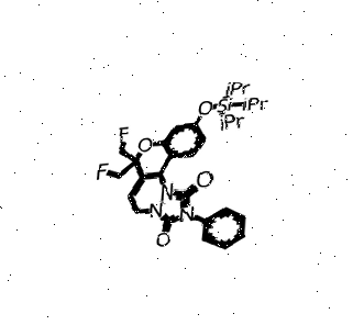 CC(C)[Si](Oc1ccc2c(c1)OC(CF)(CF)C1=CCn3c(=O)n(-c4ccccc4)c(=O)n3C12)(C(C)C)C(C)C